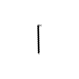 SCCCCCCCCCCCCCCCCCCCCCCCCCCCCCI